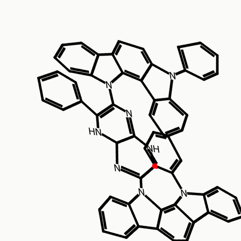 c1ccc(C2=C(n3c4ccccc4c4ccc5c(c6ccccc6n5-c5ccccc5)c43)N=C3NCC(n4c5ccccc5c5ccc6c7ccccc7n(-c7ccccc7)c6c54)=NC3N2)cc1